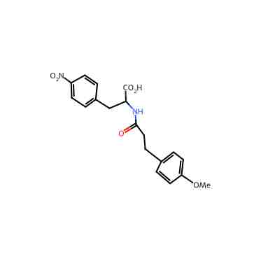 COc1ccc(CCC(=O)NC(Cc2ccc([N+](=O)[O-])cc2)C(=O)O)cc1